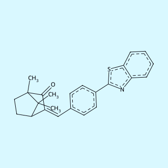 CC12CCC(C(=Cc3ccc(-c4nc5ccccc5s4)cc3)C1=O)C2(C)C